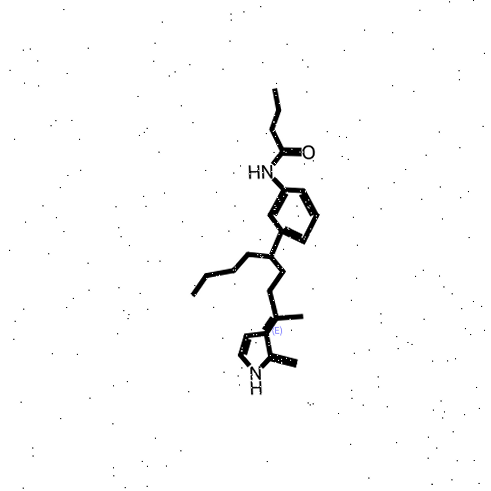 C=c1[nH]cc/c1=C(/C)CCC(CCCC)c1cccc(NC(=O)CCC)c1